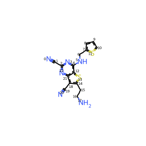 N#Cc1nc(NCc2cccs2)c2sc(CCN)c(C#N)c2n1